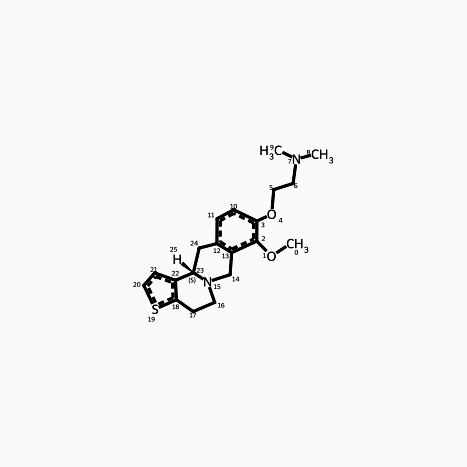 COc1c(OCCN(C)C)ccc2c1CN1CCc3sccc3[C@@H]1C2